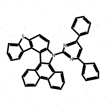 c1ccc(-c2cc(-c3ccccc3)nc(-n3c4ccc5sc6ccccc6c5c4c4c5ccccc5c5ccccc5c43)n2)cc1